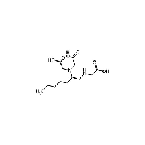 CCCCCC(CNCC(=O)O)N(CC(=O)O)CC(=O)O